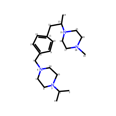 CC(C)N1CCN(Cc2ccc(CC(C)N3CCN(C)CC3)cc2)CC1